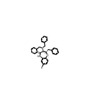 O=C1Nc2cc(F)ccc2O[C@H](Cc2ccccc2)[C@@H]1N(Cc1ccccc1)Cc1ccccc1